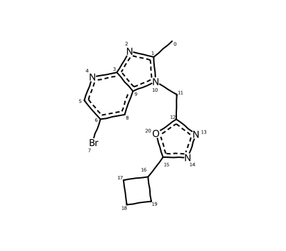 Cc1nc2ncc(Br)cc2n1Cc1nnc(C2CCC2)o1